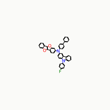 Fc1ccc(-n2c3ccccc3c3cc(N(c4ccc(-c5ccccc5)cc4)c4ccc5c(c4)oc4c6ccccc6oc54)ccc32)cc1